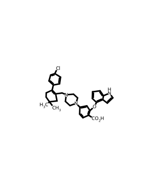 CC1(C)CCC(c2ccc(Cl)cc2)=C(CN2CCN(c3ccc(C(=O)O)c(Oc4cccc5[nH]ccc45)c3)CC2)C1